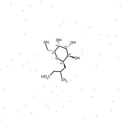 CC(CC(=O)O)C[C@H]1O[C@H](CO)[C@H](O)[C@H](O)[C@H]1O